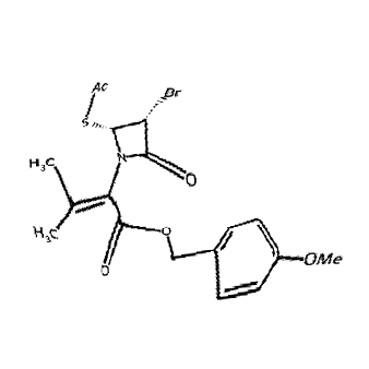 COc1ccc(COC(=O)C(=C(C)C)N2C(=O)[C@@H](Br)[C@H]2SC(C)=O)cc1